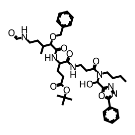 CCCCN(C(=O)CCNC(=O)C(CCC(=O)OC(C)(C)C)NC(=O)C(OCc1ccccc1)C(C)CCNC=O)C(O)c1nnc(-c2ccccc2)o1